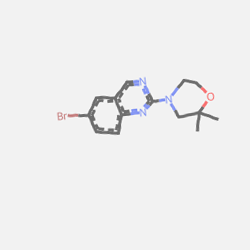 CC1(C)CN(c2ncc3cc(Br)ccc3n2)CCO1